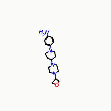 Nc1ccc(N2CCC(N3CCN(C4COC4)CC3)CC2)cc1